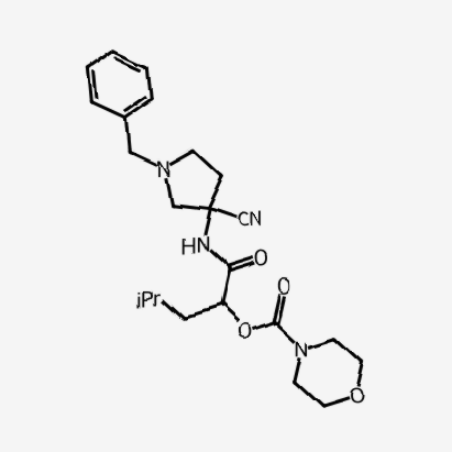 CC(C)CC(OC(=O)N1CCOCC1)C(=O)NC1(C#N)CCN(Cc2ccccc2)C1